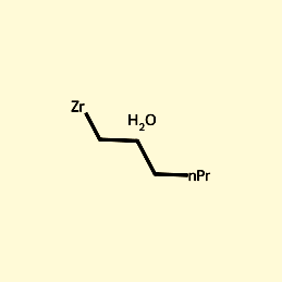 CCCCC[CH2][Zr].O